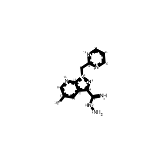 N=C(NN)c1nn(Cc2ncccn2)c2ncc(F)cc12